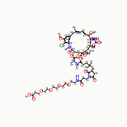 COC(=O)CCOCCOCCOCCOCCNC(=O)CCN1C(=O)CC(SC(C)(C)CCC(=O)N(C)[C@@H](C)C(=O)O[C@H]2CC(=O)N(C)c3cc(cc(OC)c3Cl)C/C(C)=C/C=C/[C@@H](OC)[C@@]3(O)C[C@H](OC(=O)N3)[C@@H](C)[C@@H]3OC23C)C1=O